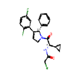 O=C(CBr)N[C@H](C(=O)N1CC=C(c2cc(F)ccc2F)[C@@H]1c1ccccc1)C1CC1